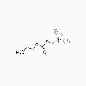 C=CCOC(=O)CCN(C)C